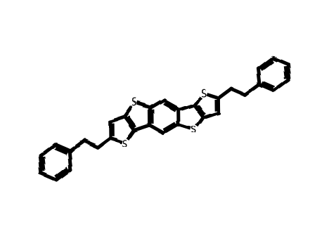 c1ccc(CCc2cc3sc4cc5c(cc4c3s2)sc2cc(CCc3ccccc3)sc25)cc1